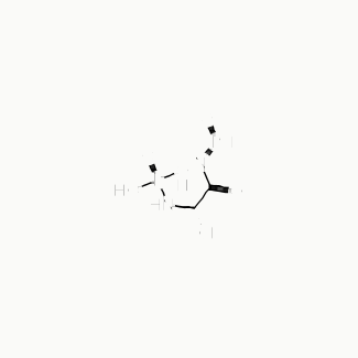 C[C@H](NP(=O)(O)O)C(=O)N=[PH]=O